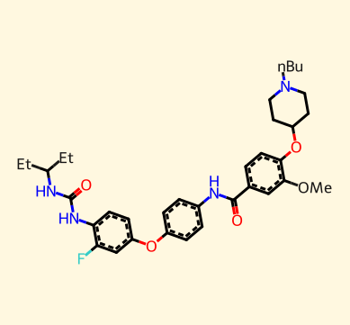 CCCCN1CCC(Oc2ccc(C(=O)Nc3ccc(Oc4ccc(NC(=O)NC(CC)CC)c(F)c4)cc3)cc2OC)CC1